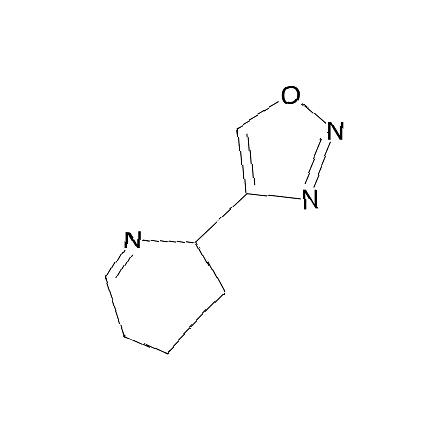 C1=NC(c2conn2)CCC1